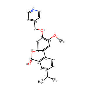 COc1cc2c(cc1OCc1ccncc1)oc(=O)c1cc(C(C)C)ccc12